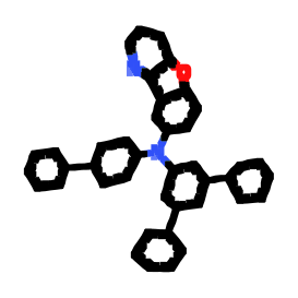 c1ccc(-c2ccc(N(c3cc(-c4ccccc4)cc(-c4ccccc4)c3)c3ccc4oc5cccnc5c4c3)cc2)cc1